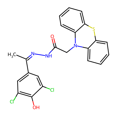 CC(=NNC(=O)CN1c2ccccc2Sc2ccccc21)c1cc(Cl)c(O)c(Cl)c1